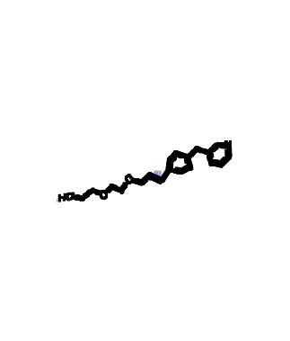 OCCOCCOC/C=C/c1ccc(Cc2cccnc2)cc1